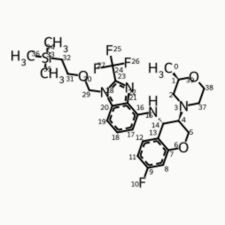 C[C@@H]1CN([C@H]2COc3cc(F)ccc3[C@@H]2Nc2cccc3c2nc(C(F)(F)F)n3COCC[Si](C)(C)C)CCO1